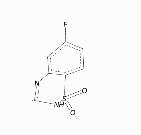 O=S1(=O)N[C]=Nc2cc(F)ccc21